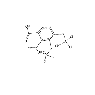 O=C(O)c1ccc(CC(Cl)(Cl)Cl)c(CC(Cl)(Cl)Cl)c1C(=O)O